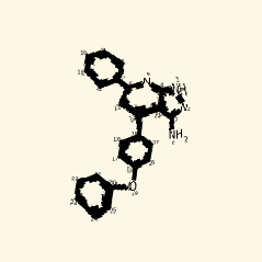 Nc1n[nH]c2nc(-c3ccccc3)cc(-c3ccc(Oc4ccccc4)cc3)c12